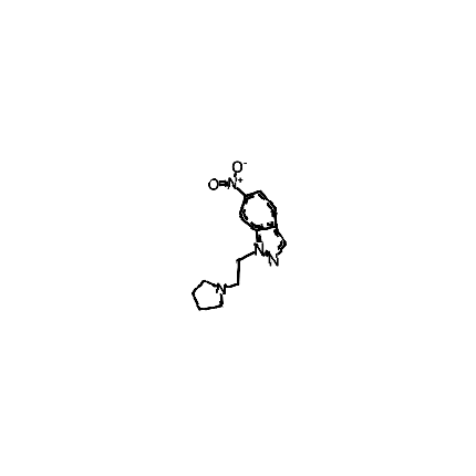 O=[N+]([O-])c1ccc2cnn(CCN3CCCC3)c2c1